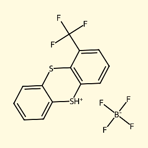 FC(F)(F)c1cccc2c1Sc1ccccc1[SH+]2.F[B-](F)(F)F